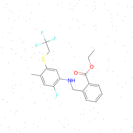 CCOC(=O)c1ccccc1CNc1cc(SCC(F)(F)F)c(C)cc1F